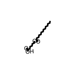 CCCCCCCCCCCCCC(=O)OCCCCCC(=O)O